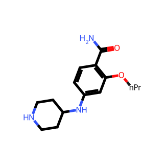 CCCOc1cc(NC2CCNCC2)ccc1C(N)=O